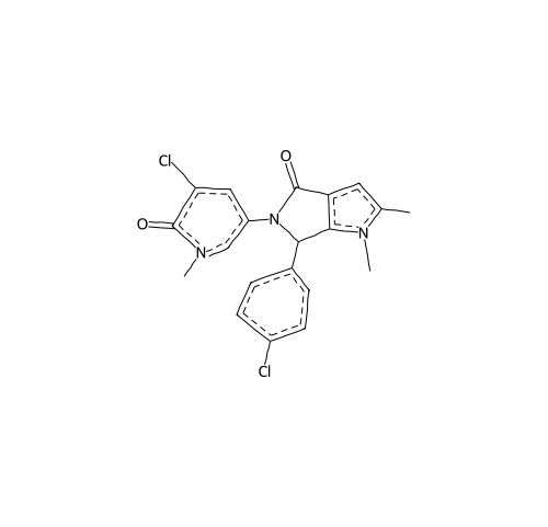 Cc1cc2c(n1C)C(c1ccc(Cl)cc1)N(c1cc(Cl)c(=O)n(C)c1)C2=O